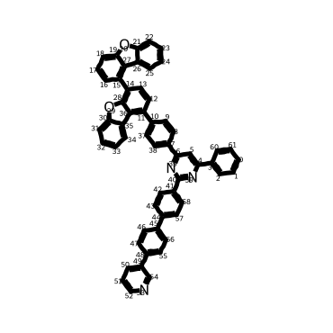 c1ccc(-c2cc(-c3ccc(-c4ccc(-c5cccc6oc7ccccc7c56)c5oc6ccccc6c45)cc3)nc(-c3ccc(-c4ccc(-c5cccnc5)cc4)cc3)n2)cc1